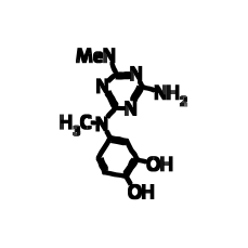 CNc1nc(N)nc(N(C)c2ccc(O)c(O)c2)n1